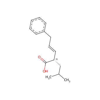 CC(C)C[C@@H](C=CCc1ccccc1)C(=O)O